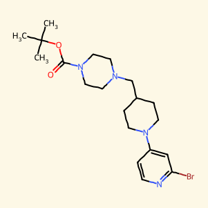 CC(C)(C)OC(=O)N1CCN(CC2CCN(c3ccnc(Br)c3)CC2)CC1